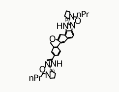 CCCC(=O)N1CCC[C@H]1c1ncc(-c2ccc3c(c2)COc2cc4c(ccc5nc([C@@H]6CCCN6C(=O)CCC)[nH]c54)cc2-3)[nH]1